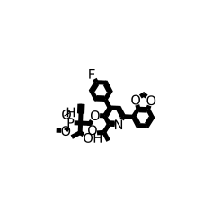 C#CC(C(=O)Oc1c(-c2ccc(F)cc2)cc(-c2cccc3c2OCO3)nc1C(C)C)(C(C)O)[PH](=O)OC